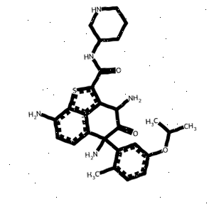 Cc1ccc(OC(C)C)cc1C1(N)C(=O)C(N)c2c(C(=O)NC3CCCNC3)sc3c(N)ccc1c23